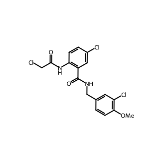 COc1ccc(CNC(=O)c2cc(Cl)ccc2NC(=O)CCl)cc1Cl